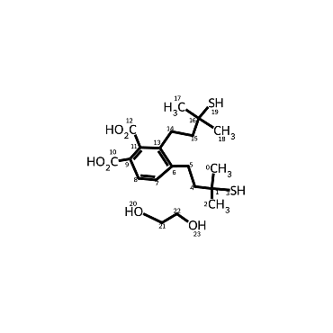 CC(C)(S)CCc1ccc(C(=O)O)c(C(=O)O)c1CCC(C)(C)S.OCCO